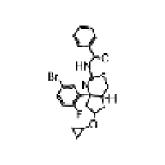 O=C(NC1=N[C@@]2(c3cc(Br)ccc3F)CC(OC3CC3)C[C@H]2CS1)c1ccccc1